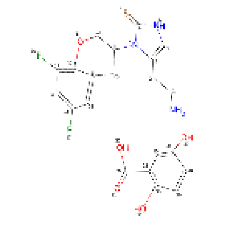 NCCc1c[nH]c(=S)n1C1COc2c(F)cc(F)cc2C1.O=C(O)c1cc(O)ccc1O